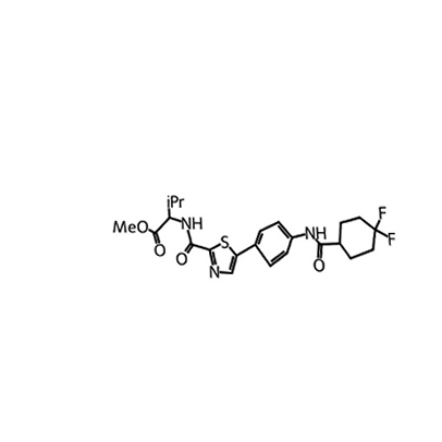 COC(=O)C(NC(=O)c1ncc(-c2ccc(NC(=O)C3CCC(F)(F)CC3)cc2)s1)C(C)C